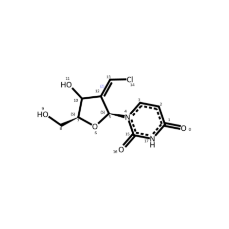 O=c1ccn([C@H]2O[C@@H](CO)C(O)/C2=C/Cl)c(=O)[nH]1